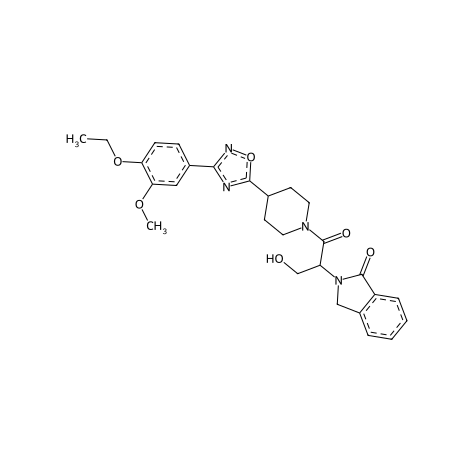 CCOc1ccc(-c2noc(C3CCN(C(=O)C(CO)N4Cc5ccccc5C4=O)CC3)n2)cc1OC